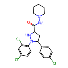 O=C(NN1CCCCC1)C1CC(c2ccc(Cl)cc2)N(c2ccc(Cl)cc2Cl)N1